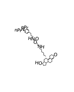 CCCN(CCC)c1ccc(CCCNC(=O)OCCNCCCCCC[C@H]2C[C@@]3(C)C(CC[C@@H]3O)C3CCC4=CC(=O)CCC4=C32)cc1